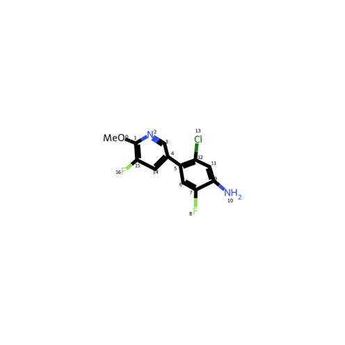 COc1ncc(-c2cc(F)c(N)cc2Cl)cc1F